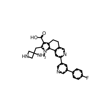 Cn1c(CC2(N)CNC2)c(C(=O)O)c2c1-c1cc(-c3cncc(-c4ccc(F)cc4)c3)ncc1CC2